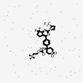 C[Si](C)(C)CCOC(=O)NC1(c2ccc(-c3nc(N4CC[C@@H]4C(F)(F)F)nc4c3CCC4(F)F)cc2)CCS(=O)(=O)CC1